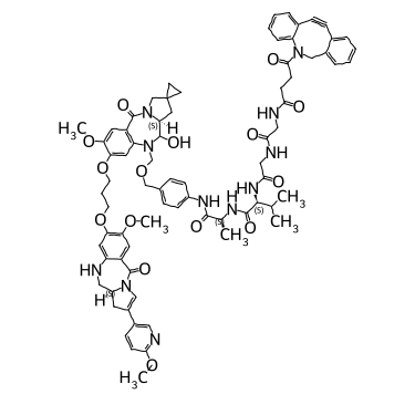 COc1ccc(C2=CN3C(=O)c4cc(OC)c(OCCCOc5cc6c(cc5OC)C(=O)N5CC7(CC7)C[C@H]5C(O)N6COCc5ccc(NC(=O)[C@H](C)NC(=O)[C@@H](NC(=O)CNC(=O)CNC(=O)CCC(=O)N6Cc7ccccc7C#Cc7ccccc76)C(C)C)cc5)cc4NC[C@@H]3C2)cn1